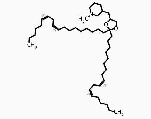 CCCCC/C=C\C/C=C\CCCCCCCCC1(CCCCCCCC/C=C\C/C=C\CCCCC)OCC(CC2CCCN(C)C2)O1